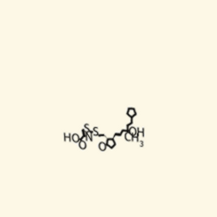 C[C@@](O)(CC=C[C@H]1CCC(=O)[C@@H]1CCSc1nc(C(=O)O)cs1)CCC1CCCC1